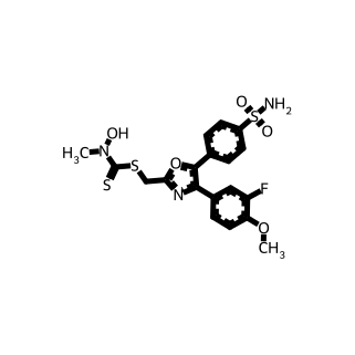 COc1ccc(-c2nc(CSC(=S)N(C)O)oc2-c2ccc(S(N)(=O)=O)cc2)cc1F